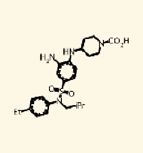 CCc1ccc(N(CC(C)C)S(=O)(=O)c2ccc(NC3CCN(C(=O)O)CC3)c(N)c2)cc1